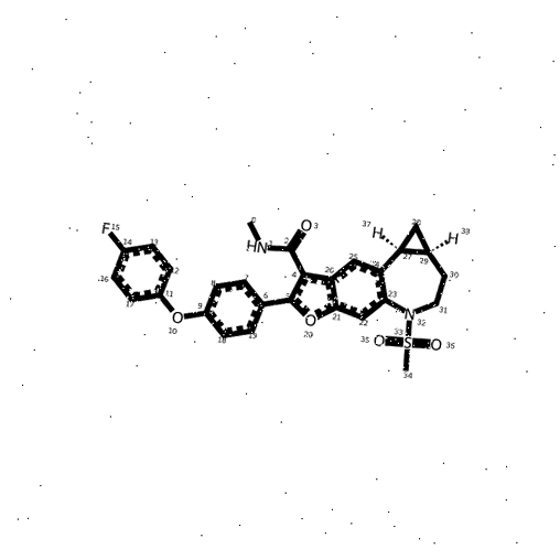 CNC(=O)c1c(-c2ccc(Oc3ccc(F)cc3)cc2)oc2cc3c(cc12)[C@H]1C[C@H]1CCN3S(C)(=O)=O